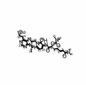 CN(C)C(=O)/C=C/CC[C@H](OC(=O)N(C)C)C(=O)Nc1cccn(Cc2nc3c(CCC(C)(C)C)ncnc3n2PI)c1=O